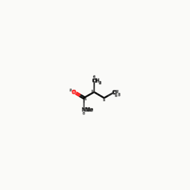 CNC(=O)C(C)CC(F)(F)F